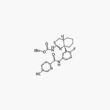 CC(C)(C)OC(=O)NC1=N[C@@]2(c3cc(NC(=O)c4ccc(C#N)cn4)ccc3F)CCCC[C@H]2CS1